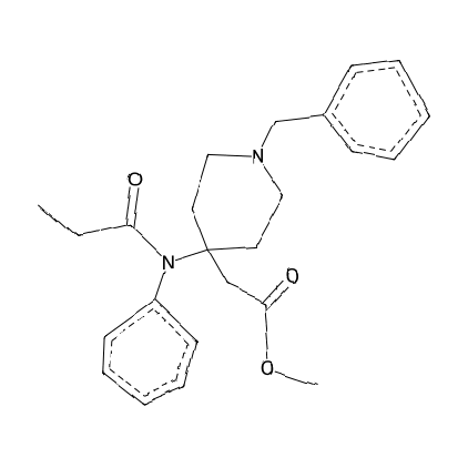 CCC(=O)N(c1ccccc1)C1(CC(=O)OC)CCN(Cc2ccccc2)CC1